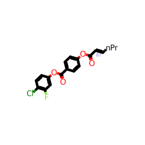 CCC/C=C/C(=O)Oc1ccc(C(=O)Oc2ccc(Cl)c(F)c2)cc1